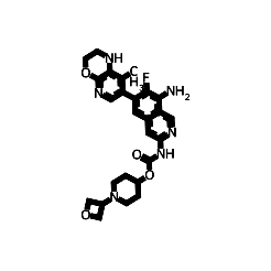 Cc1c(-c2cc3cc(NC(=O)OC4CCN(C5COC5)CC4)ncc3c(N)c2F)cnc2c1NCCO2